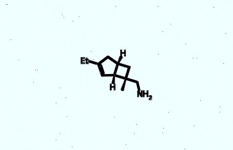 CCC1=C[C@@H]2[C@H](C1)C[C@]2(C)CN